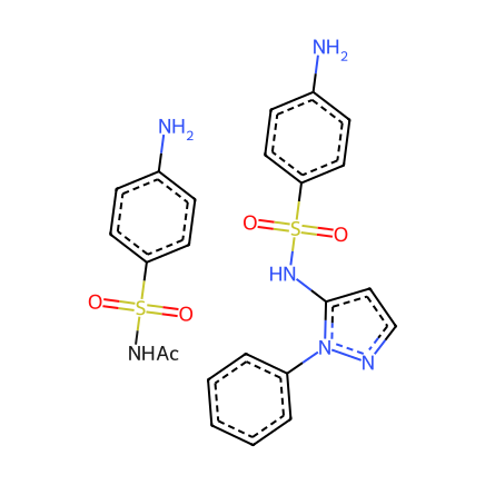 CC(=O)NS(=O)(=O)c1ccc(N)cc1.Nc1ccc(S(=O)(=O)Nc2ccnn2-c2ccccc2)cc1